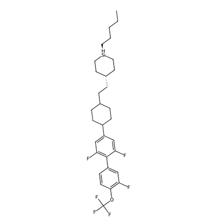 CCCCC[Si@H]1CC[C@H](CCC2CCC(c3cc(F)c(-c4ccc(OC(F)(F)F)c(F)c4)c(F)c3)CC2)CC1